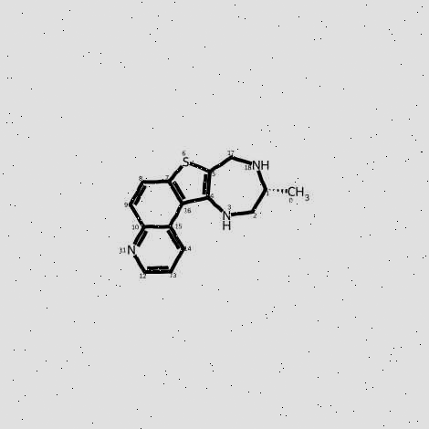 C[C@@H]1CNc2c(sc3ccc4ncccc4c23)CN1